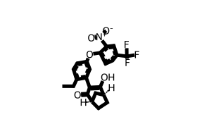 CCc1ccc(Oc2ccc(C(F)(F)F)cc2[N+](=O)[O-])cc1C1=C(O)[C@H]2CC[C@H](C2)C1=O